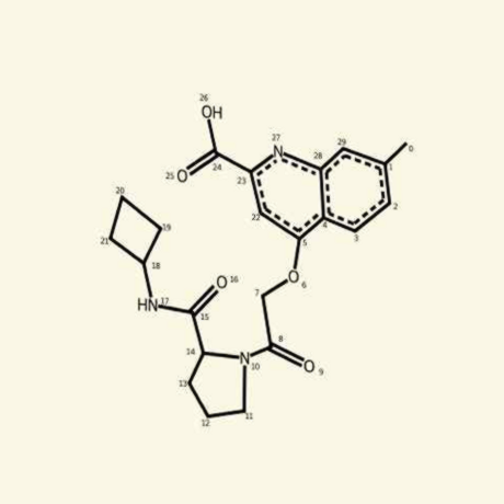 Cc1ccc2c(OCC(=O)N3CCCC3C(=O)NC3CCC3)cc(C(=O)O)nc2c1